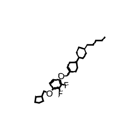 CCCCCC1CCC(C2CC=C(COc3ccc(OCC4CCCC4)c(F)c3F)CC2)CC1